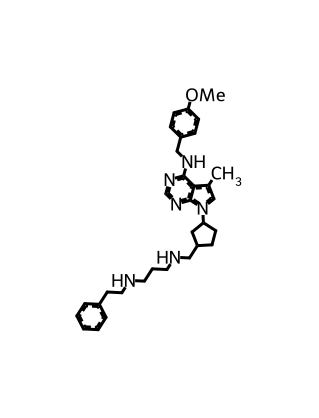 COc1ccc(CNc2ncnc3c2c(C)cn3C2CCC(CNCCCNCCc3ccccc3)C2)cc1